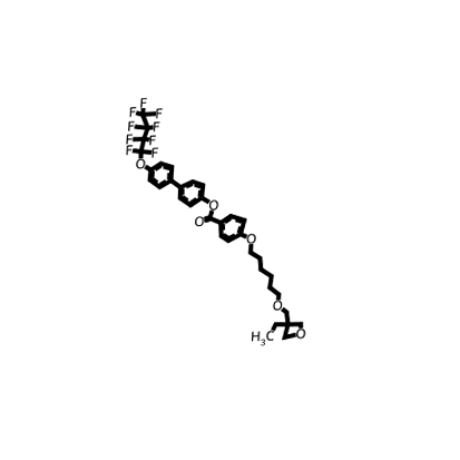 CCC1(COCCCCCCOc2ccc(C(=O)Oc3ccc(-c4ccc(OC(F)(F)C(F)(F)C(F)(F)C(F)(F)F)cc4)cc3)cc2)COC1